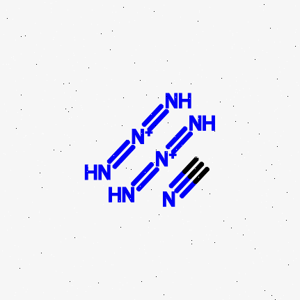 C#N.N=[N+]=N.N=[N+]=N